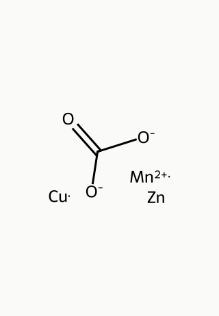 O=C([O-])[O-].[Cu].[Mn+2].[Zn]